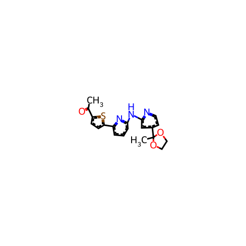 CC(=O)c1ccc(-c2cccc(Nc3cc(C4(C)OCCO4)ccn3)n2)s1